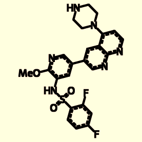 COc1ncc(-c2cnc3nccc(N4CCNCC4)c3c2)cc1NS(=O)(=O)c1ccc(F)cc1F